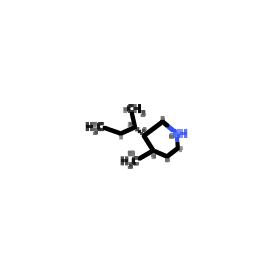 CCC(C)[C@@H]1CNCCC1C